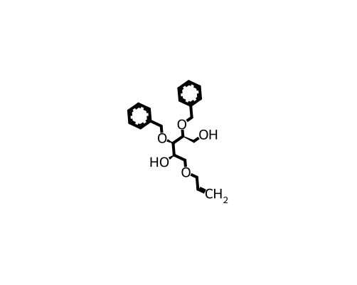 C=CCOC[C@@H](O)[C@@H](OCc1ccccc1)[C@H](CO)OCc1ccccc1